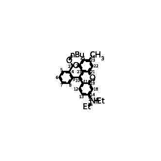 CCCCOC(=O)c1ccccc1-c1c2ccc(=[N+](CC)CC)cc-2oc2cc(C)ccc12